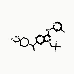 CCC1(O)CCN(C(=O)c2cc3c(cn2)c(Nc2cc(F)ccn2)nn3CC(F)(F)F)CC1